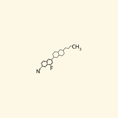 CCCCC1CCC2CC(c3cc(F)c4cc(C#N)ccc4c3)CCC2C1